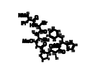 CC[C@H](C)[C@@H]([C@@H](CC(=O)N1CCC[C@H]1[C@H](OC)[C@@H](C)C(=O)N[C@@H](Cc1ccccc1)c1nccs1)OC)N(C)C(=O)[C@@H](NC(=O)C(NC)C(C)C)C(C)C